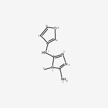 Cn1c(N)nnc1Nc1ccoc1